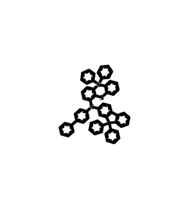 c1ccc(-c2ccc(N(c3ccc4c(c3)C(c3ccccc3)(c3ccccc3)c3ccccc3-4)c3cccc4c3Sc3ccccc3[Si]4(c3ccccc3)c3ccccc3)cc2)cc1